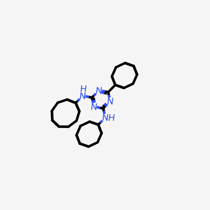 C1CCCCC(Nc2nc(NC3CCCCCCC3)nc(C3CCCCCCC3)n2)CCC1